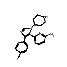 Nc1ccnc(-c2c(-c3ccc(F)cc3)ncn2C2CCNCC2)n1